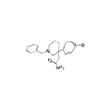 NC(=O)CC1(c2ccc(Br)cc2)CCCN(Cc2ccccc2)C1